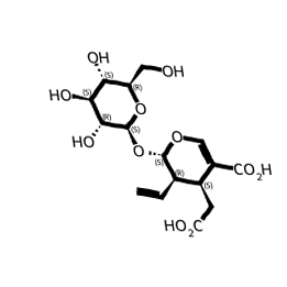 C=C[C@H]1[C@H](O[C@@H]2O[C@H](CO)[C@@H](O)[C@H](O)[C@H]2O)OC=C(C(=O)O)[C@H]1CC(=O)O